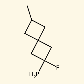 CC1CC2(C1)CC(F)(P)C2